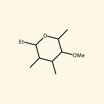 CCC1OC(C)C(OC)C(C)C1C